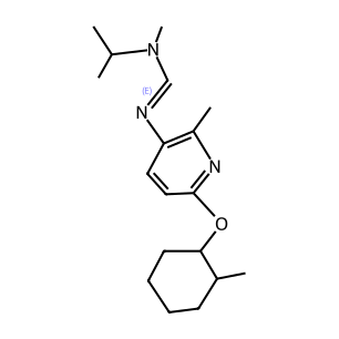 Cc1nc(OC2CCCCC2C)ccc1/N=C/N(C)C(C)C